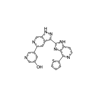 Oc1cncc(-c2cc3c(-c4nc5c(-c6cccs6)nccc5[nH]4)n[nH]c3cn2)c1